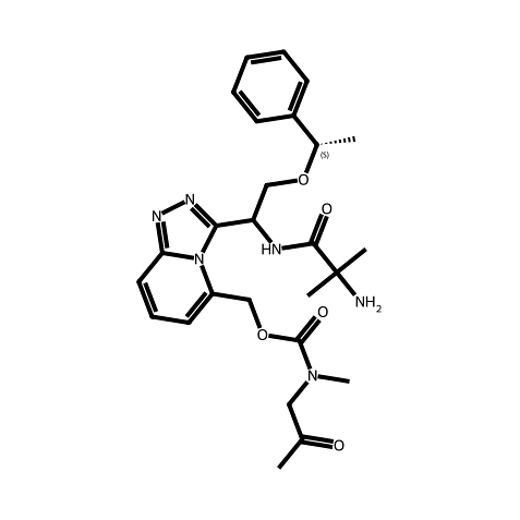 CC(=O)CN(C)C(=O)OCc1cccc2nnc(C(CO[C@@H](C)c3ccccc3)NC(=O)C(C)(C)N)n12